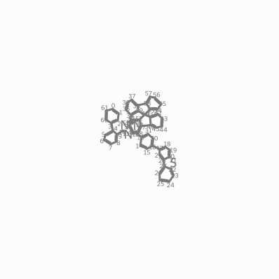 c1ccc(-c2ccccc2-c2nc(-c3ccc(-c4ccc5sc6ccccc6c5c4)cc3)nc(-c3cccc4c3C3(c5ccccc5-c5ccccc53)c3ccccc3-4)n2)cc1